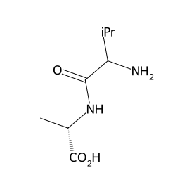 CC(C)C(N)C(=O)N[C@@H](C)C(=O)O